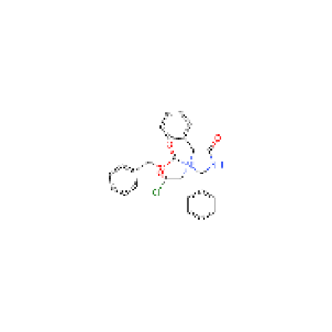 O=C(Cl)C[N+]1(C(=O)OCc2ccccc2)C(c2ccccc2)NC(=O)C1c1ccccc1